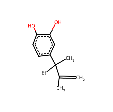 C=C(C)C(C)(CC)c1ccc(O)c(O)c1